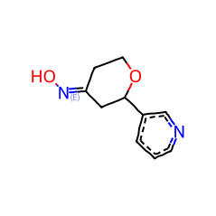 O/N=C1\CCOC(c2cccnc2)C1